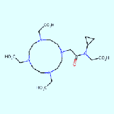 O=C(O)CN1CCN(CC(=O)O)CCN(CC(=O)N(CC(=O)O)C2CC2)CCN(CC(=O)O)CC1